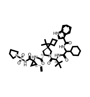 C=C[C@@H]1C[C@]1(NC(=O)[C@@H]1C[C@@]2(CN1C(=O)[C@@H](NC(=O)C(NC(=O)c1c[nH]c3ccccc13)C1CCCCC1)C(C)(C)C)C(C)(C)C21CCC1)C(=O)NS(=O)(=O)N1CCCC1